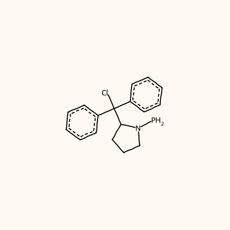 PN1CCCC1C(Cl)(c1ccccc1)c1ccccc1